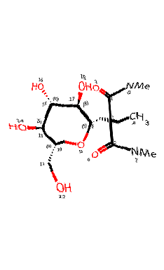 CNC(=O)C(C)(C(=O)NC)[C@@H]1O[C@H](CO)[C@@H](O)[C@H](O)[C@H]1O